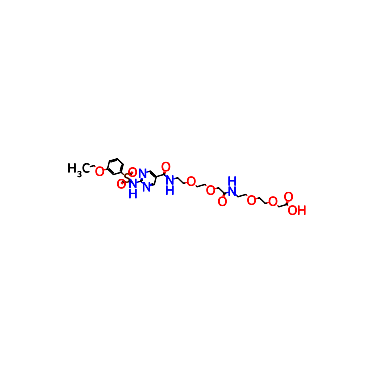 CCOc1cccc(S(=O)(=O)Nc2ncc(C(=O)NCCOCCOCC(=O)NCCOCCOCC(=O)O)cn2)c1